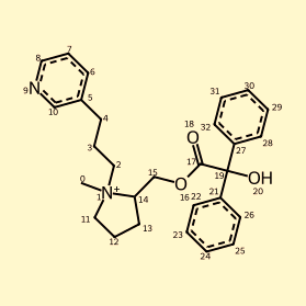 C[N+]1(CCCc2cccnc2)CCCC1COC(=O)C(O)(c1ccccc1)c1ccccc1